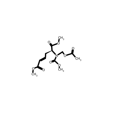 COC(=O)/C=C/C[C@@H](C(=O)OC)N(COC(C)=O)C(=O)OC